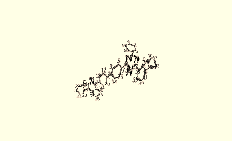 c1ccc(-c2nc(-c3ccc(-c4ccc(-c5nc6sc7ccccc7c6c6ccccc56)cc4)cc3)nc(-c3cccc4c3sc3ccccc34)n2)cc1